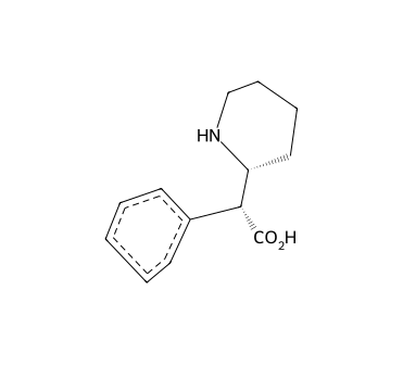 O=C(O)[C@H](c1ccccc1)[C@H]1CCCCN1